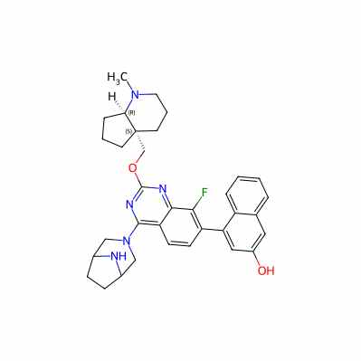 CN1CCC[C@@]2(COc3nc(N4CC5CCC(C4)N5)c4ccc(-c5cc(O)cc6ccccc56)c(F)c4n3)CCC[C@@H]12